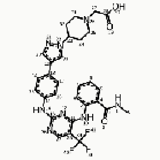 CNC(=O)c1ccccc1Nc1nc(Nc2ccc(-c3cnn(C4CCN(CC(=O)O)CC4)c3)cc2)ncc1C(F)(F)F